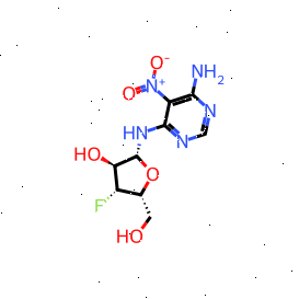 Nc1ncnc(N[C@@H]2O[C@H](CO)[C@H](F)[C@H]2O)c1[N+](=O)[O-]